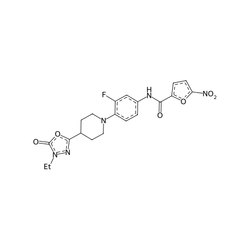 CCn1nc(C2CCN(c3ccc(NC(=O)c4ccc([N+](=O)[O-])o4)cc3F)CC2)oc1=O